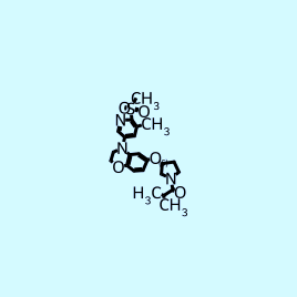 Cc1cc(N2CCOc3ccc(O[C@H]4CCN(C(=O)C(C)C)C4)cc32)cnc1S(C)(=O)=O